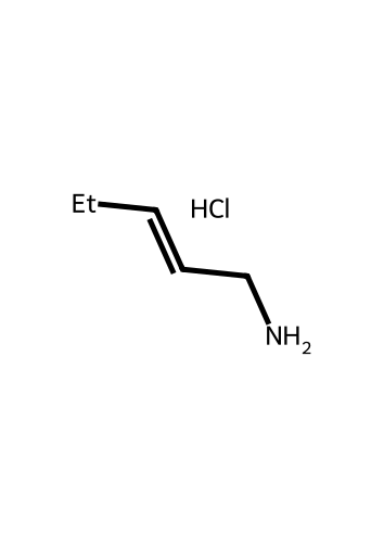 CC/C=C/CN.Cl